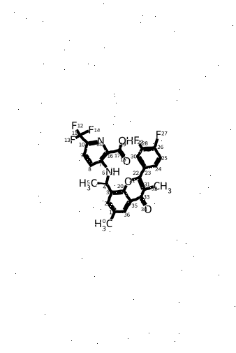 Cc1cc([C@@H](C)Nc2ccc(C(F)(F)F)nc2C(=O)O)c2oc(-c3ccc(F)c(F)c3)c(C)c(=O)c2c1